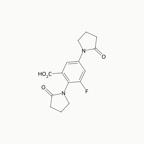 O=C(O)c1cc(N2CCCC2=O)cc(F)c1N1CCCC1=O